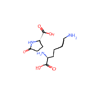 NCCCC[C@H](N)C(=O)O.O=C1CC[C@@H](C(=O)O)N1